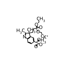 CCOP(=O)(CCC1(C)C(C)=Nc2ccc(S(=O)(=O)[O-])cc21)OCC.[K+]